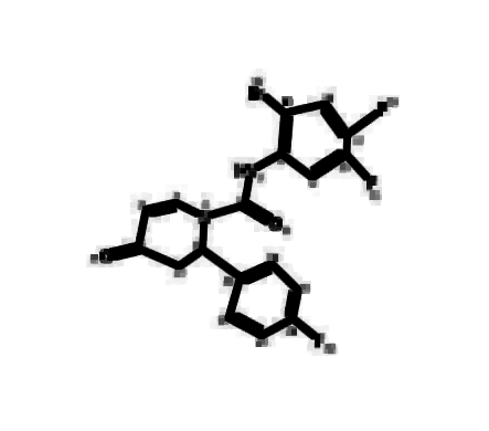 O=C1C=CN(C(=O)Nc2cc(F)c(F)cc2Br)C(c2ccc(F)cc2)C1